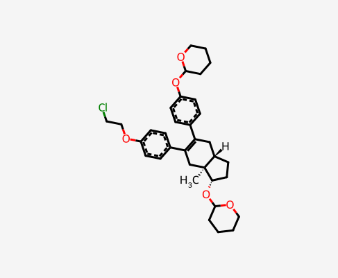 C[C@]12CC(c3ccc(OCCCl)cc3)=C(c3ccc(OC4CCCCO4)cc3)C[C@@H]1CC[C@@H]2OC1CCCCO1